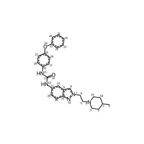 CC1CCN(CCn2cc3cc(NC(=O)Nc4ccc(Oc5ccccc5)cc4)ccc3n2)CC1